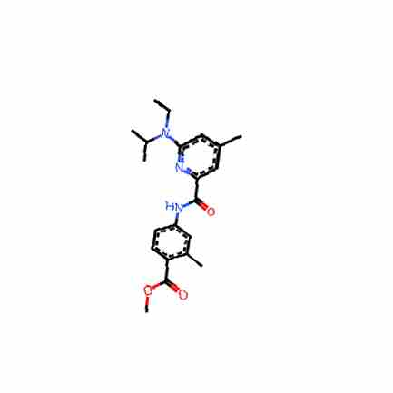 CCN(c1cc(C)cc(C(=O)Nc2ccc(C(=O)OC)c(C)c2)n1)C(C)C